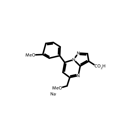 COCc1cc(-c2cccc(OC)c2)n2ncc(C(=O)O)c2n1.[Na]